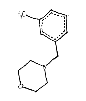 FC(F)(F)c1c[c]cc(CN2CCOCC2)c1